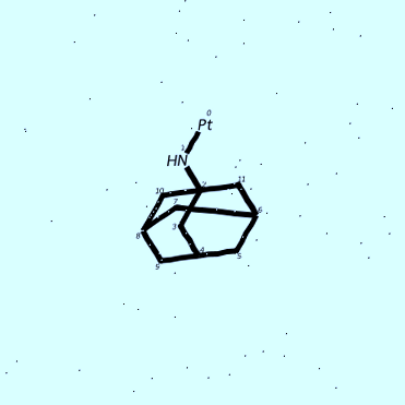 [Pt][NH]C12CC3CC(CC(C3)C1)C2